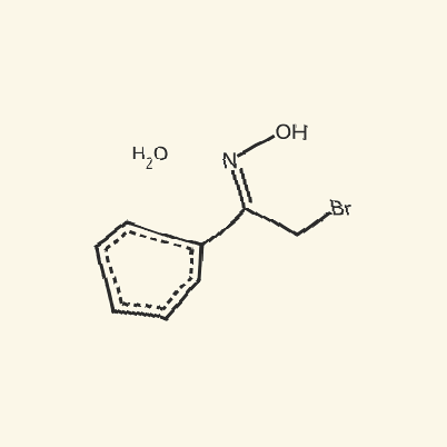 O.ON=C(CBr)c1ccccc1